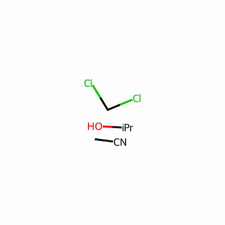 CC#N.CC(C)O.ClCCl